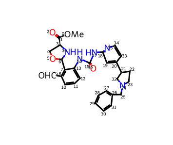 COC(=O)[C@@H]1COC(c2c(C=O)cccc2NC(=O)Nc2cc(C3CCN(Cc4ccccc4)C3)ccn2)N1